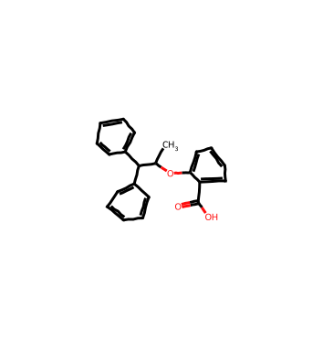 CC(Oc1ccccc1C(=O)O)C(c1ccccc1)c1ccccc1